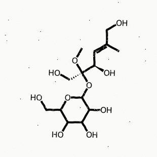 CO[C@](CO)(OC1OC(CO)C(O)C(O)C1O)[C@H](O)/C=C(\C)CO